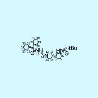 CC(C)(C)CC(=O)Nc1cccc(C2CCN(CCCNC(=O)C(c3ccccc3)c3ccccc3)CC2)c1